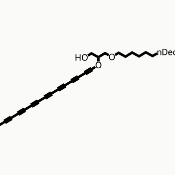 CC#CC#CC#CC#CC#CC#CC#COC(CO)COCCCCCCCCCCCCCCCC